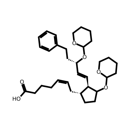 O=C(O)CCC/C=C\C[C@H]1CCC(OC2CCCCO2)[C@@H]1/C=C/[C@H](CCc1ccccc1)OC1CCCCO1